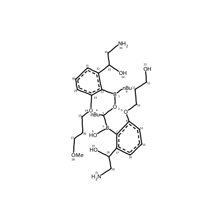 CCCCB(OC(CCCC)B(O)c1c(OCCCO)cccc1C(O)CN)c1c(OCCCOC)cccc1C(O)CN